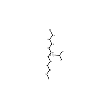 CC(C)N.CCCCCCCCCCCC